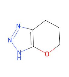 C1COc2[nH]nnc2C1